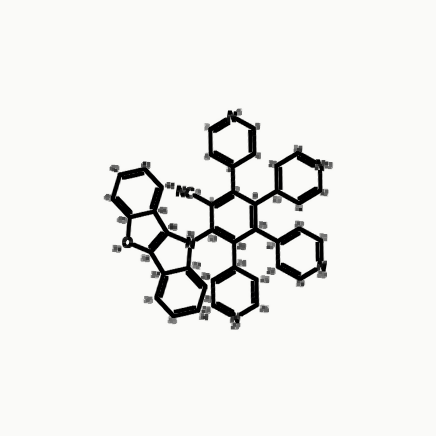 N#Cc1c(-c2ccncc2)c(-c2ccncc2)c(-c2ccncc2)c(-c2ccncc2)c1-n1c2ccccc2c2oc3ccccc3c21